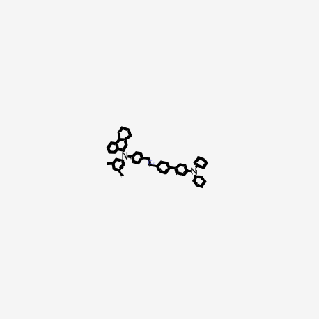 Cc1cc(C)cc(N(c2ccc(/C=C/c3ccc(-c4ccc(N(c5ccccc5)c5ccccc5)cc4)cc3)cc2)c2cc3ccccc3c3ccccc23)c1